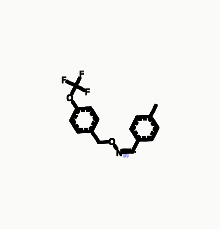 Cc1ccc(/[C]=N\OCc2ccc(OC(F)(F)F)cc2)cc1